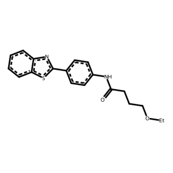 CCOCCCC(=O)Nc1ccc(-c2nc3ccccc3s2)cc1